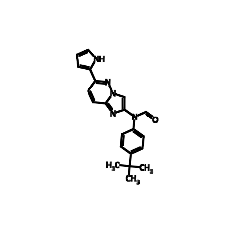 CC(C)(C)c1ccc(N(C=O)c2cn3nc(-c4ccc[nH]4)ccc3n2)cc1